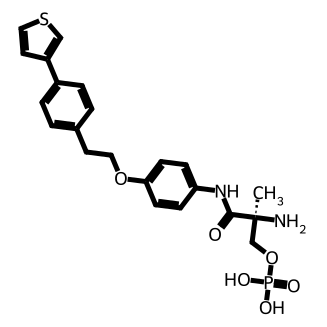 C[C@](N)(COP(=O)(O)O)C(=O)Nc1ccc(OCCc2ccc(-c3ccsc3)cc2)cc1